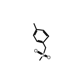 Cc1ccc(CS(C)(=O)=O)cc1